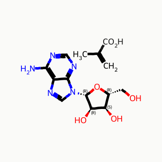 C=C(C)C(=O)O.Nc1ncnc2c1ncn2[C@@H]1O[C@H](CO)[C@@H](O)[C@H]1O